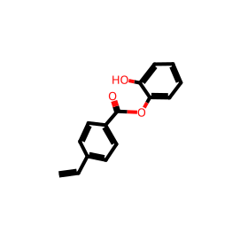 C=Cc1ccc(C(=O)Oc2ccccc2O)cc1